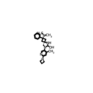 Cc1cc(N2CCC2)ncc1N1C[C@]2(C[C@](c3ccccc3)(N(C)C)C2)NC1O